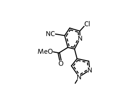 COC(=O)c1c(C#N)cc(Cl)nc1-c1cnn(C)c1